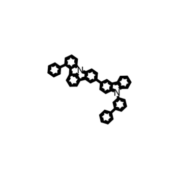 c1ccc(-c2cccc(-n3c4ccccc4c4cc(-c5ccc6c(c5)c5cccc7c8c(-c9ccccc9)cccc8n6c57)ccc43)c2)cc1